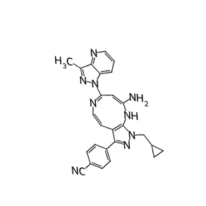 Cc1nn(-c2cc(N)[nH]c3c(ccn2)c(-c2ccc(C#N)cc2)nn3CC2CC2)c2cccnc12